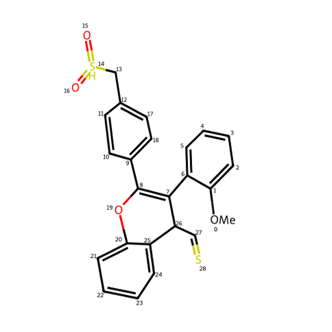 COc1ccccc1C1=C(c2ccc(C[SH](=O)=O)cc2)Oc2ccccc2C1C=S